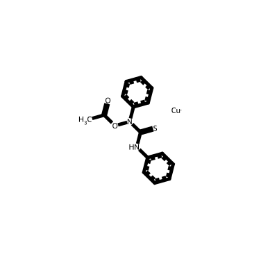 CC(=O)ON(C(=S)Nc1ccccc1)c1ccccc1.[Cu]